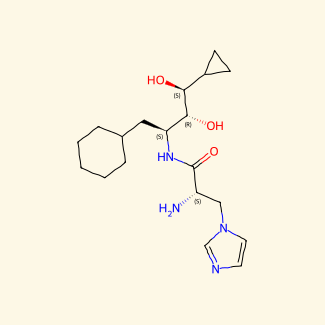 N[C@@H](Cn1ccnc1)C(=O)N[C@@H](CC1CCCCC1)[C@@H](O)[C@@H](O)C1CC1